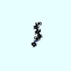 O=C=Nc1ccc(-c2cnc(-c3ccc(OC(=O)/C=C/c4ccccc4)s3)cn2)s1